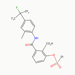 CCS(=O)(=O)Oc1cccc(C(=O)Nc2ccc(C(F)(C(F)(F)F)C(F)(F)F)cc2C)c1C(=O)O